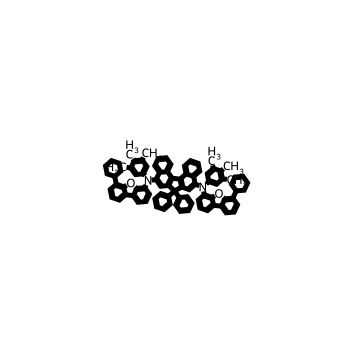 Cc1cc(N(c2cc3c(c4ccccc24)-c2c(cc(N(c4cc(C)c(C)c(C)c4)c4cccc5c4oc4c(C6CCCCC6)cccc45)c4ccccc24)C3(c2ccccc2)c2ccccc2)c2cccc3c2oc2c(C4CCCCC4)cccc23)cc(C)c1C